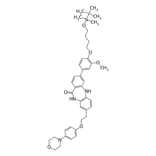 COc1cc(-c2ccc3c(c2)Nc2ccc(CCOc4ccc(N5CCOCC5)cc4)cc2NC3=O)ccc1OCCCCO[Si](C)(C)C(C)(C)C